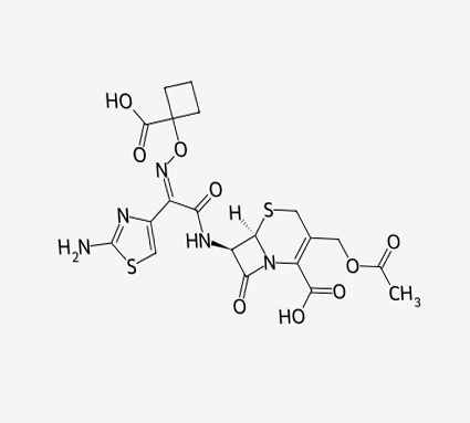 CC(=O)OCC1=C(C(=O)O)N2C(=O)[C@@H](NC(=O)/C(=N\OC3(C(=O)O)CCC3)c3csc(N)n3)[C@H]2SC1